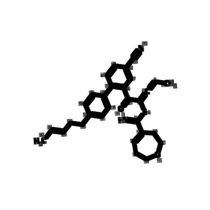 CC=C=C(SC(=N)C1=CCCOCC1)C(=O)c1cc(C#N)ccc1-c1ccc(CC/C=C/C)cc1